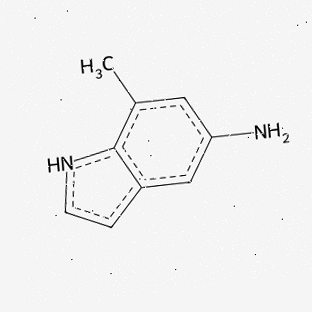 Cc1cc(N)cc2cc[nH]c12